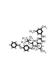 Cc1cc(C)cc(NC(=O)N[C@@H](CC(C)C)C(=O)N[C@@H](Cc2ccc(OCc3ccccc3)cc2)C(=O)OC(C)(C)C)c1